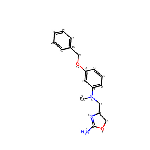 CCN(CC1COC(N)=N1)c1cccc(OCc2ccccc2)c1